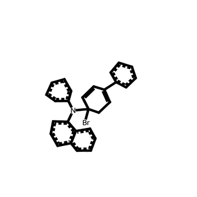 BrC1(N(c2ccccc2)c2cccc3ccccc23)C=CC(c2ccccc2)=CC1